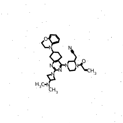 C=CC(=O)N1CCN(c2nc(N3CC(N(C)C)C3)nc3c2CCC(N2CCOc4ccccc42)C3)CC1CC#N